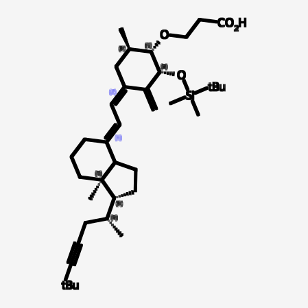 C=C1/C(=C\C=C2/CCC[C@@]3(C)C2CC[C@@H]3[C@H](C)CC#CC(C)(C)C)C[C@@H](C)[C@H](OCCC(=O)O)[C@@H]1O[Si](C)(C)C(C)(C)C